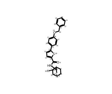 O=C(N[C@H]1CN2CCC1CC2)c1ccc(-c2ccc(OCc3ccccc3)cc2)s1